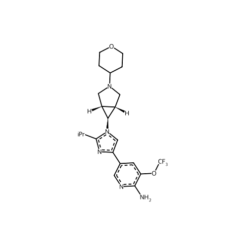 CC(C)c1nc(-c2cnc(N)c(OC(F)(F)F)c2)cn1[C@H]1[C@@H]2CN(C3CCOCC3)C[C@@H]21